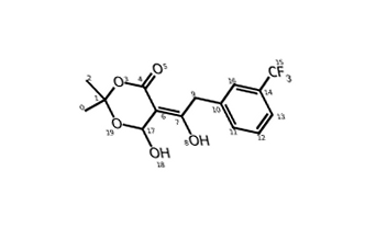 CC1(C)OC(=O)/C(=C(/O)Cc2cccc(C(F)(F)F)c2)C(O)O1